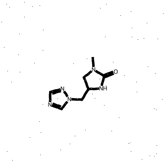 CN1CC(Cn2cncn2)NC1=O